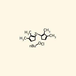 CC1=CC[C]([Zr][C]2=C(C)C(C)=CC2)=C1C.CCCCOCl